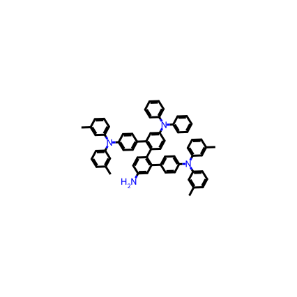 Cc1cccc(N(c2ccc(-c3cc(N)ccc3-c3ccc(N(c4ccccc4)c4ccccc4)cc3-c3ccc(N(c4cccc(C)c4)c4cccc(C)c4)cc3)cc2)c2cccc(C)c2)c1